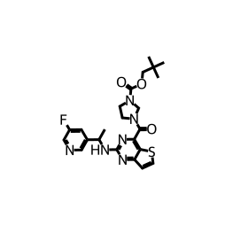 CC(Nc1nc(C(=O)N2CCN(C(=O)OCC(C)(C)C)C2)c2sccc2n1)c1cncc(F)c1